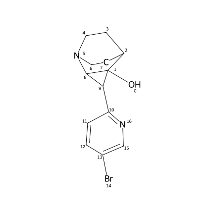 OC12C3CCN(CC3)C1C2c1ccc(Br)cn1